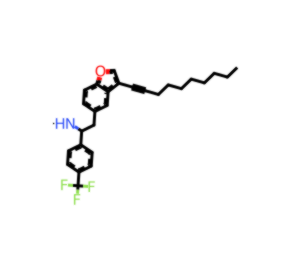 CCCCCCCCC#Cc1coc2ccc(CC([NH])c3ccc(C(F)(F)F)cc3)cc12